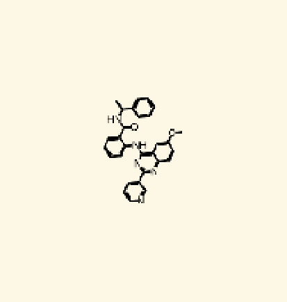 COc1ccc2nc(-c3cccnc3)nc(Nc3ccccc3C(=O)NC(C)c3ccccc3)c2c1